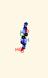 Cc1c(Nc2nccc3cc(CN4CC(C(=O)O)C4)cnc23)cccc1-c1cccc(NC(=O)c2ccc(CN3CCCC3)cn2)c1Cl